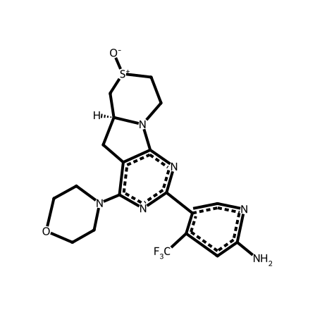 Nc1cc(C(F)(F)F)c(-c2nc(N3CCOCC3)c3c(n2)N2CC[S+]([O-])C[C@@H]2C3)cn1